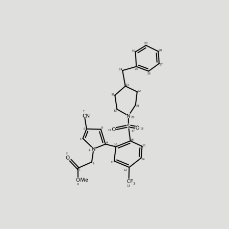 COC(=O)Cn1cc(C#N)cc1-c1cc(C(F)(F)F)ccc1S(=O)(=O)N1CCC(Cc2ccccc2)CC1